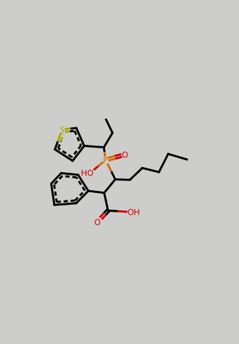 CCCCCC(C(C(=O)O)c1ccccc1)P(=O)(O)C(CC)c1ccsc1